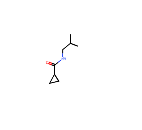 CC(C)CNC(=O)C1CC1